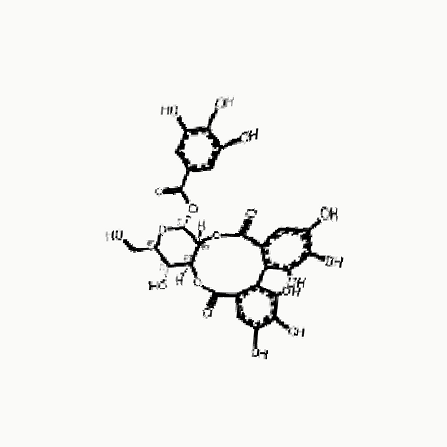 O=C(O[C@H]1O[C@H](CO)[C@@H](O)[C@@H]2OC(=O)c3cc(O)c(O)c(O)c3-c3c(cc(O)c(O)c3O)C(=O)O[C@@H]12)c1cc(O)c(O)c(O)c1